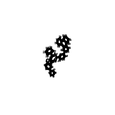 c1ccc(-c2ccc3oc4c(-c5ccccc5)nc(-c5cccc(-c6ccc7c8ccccc8c8ccccc8c7c6)c5)nc4c3c2)cc1